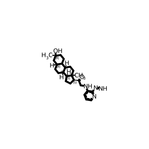 C[C@@]1(O)CCC2[C@H](CC[C@@H]3[C@@H]2CC[C@]2(C)[C@@H](C(=O)CNc4cccnc4N=N)CC[C@@H]32)C1